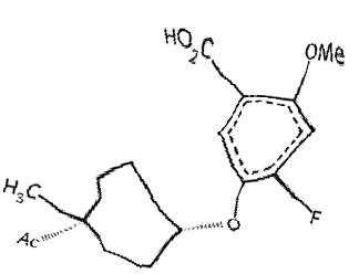 COc1cc(F)c(O[C@H]2CC[C@@](C)(C(C)=O)CC2)cc1C(=O)O